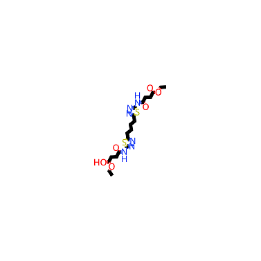 CCOC(=O)CCC(=O)Nc1nnc(CCCCc2nnc(NC(=O)CCC(O)OCC)s2)s1